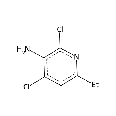 CCc1cc(Cl)c(N)c(Cl)n1